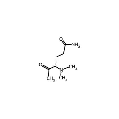 CC(=O)[C@H](CCC(N)=O)N(C)C